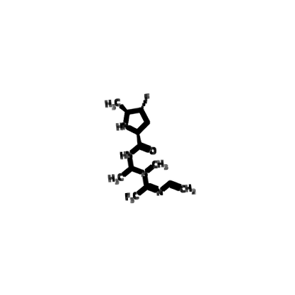 C=C/N=C(\N(C)C(C)NC(=O)[C@@H]1C[C@@H](F)[C@H](C)N1)C(F)(F)F